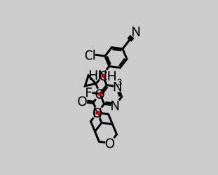 CC1(OC(=O)N2CC3COCC(C2)C3Oc2ncnc(Nc3ccc(C#N)cc3Cl)c2F)CC1